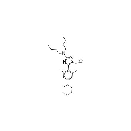 CCCCN(CCCC)c1nc(-c2c(C)cc(C3CCCCC3)cc2C)c(C=O)s1